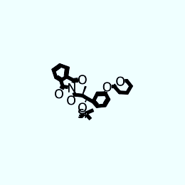 C[C@H](C(=O)N1C(=O)c2ccccc2C1=O)[C@@H](O[Si](C)(C)C)c1cccc(OC2CCCCO2)c1